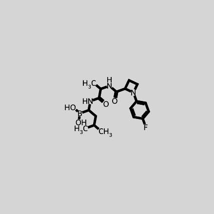 CC(C)CC(NC(=O)C(C)NC(=O)C1CCN1c1ccc(F)cc1)B(O)O